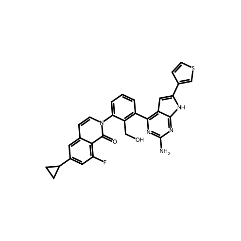 Nc1nc(-c2cccc(-n3ccc4cc(C5CC5)cc(F)c4c3=O)c2CO)c2cc(-c3ccsc3)[nH]c2n1